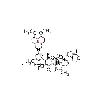 COc1ccc(CN(Cc2ccc(OC)cc2)c2cc(C)c(C(F)(F)F)c(-c3c(Cl)c4c5c(nc(OC[C@@H]6CC[C@H]7COCCN76)nc5c3F)N([C@H](C)c3cccnc3NC(=O)O)CCO4)n2)cc1